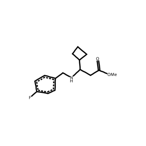 COC(=O)CC(NCc1ccc(F)cc1)C1CCC1